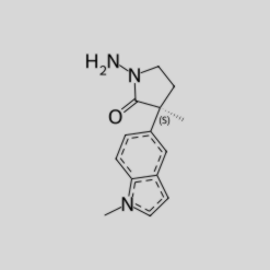 Cn1ccc2cc([C@]3(C)CCN(N)C3=O)ccc21